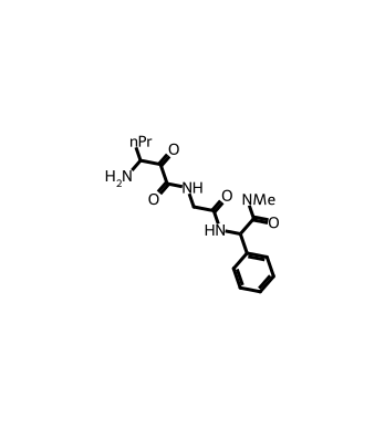 CCCC(N)C(=O)C(=O)NCC(=O)NC(C(=O)NC)c1ccccc1